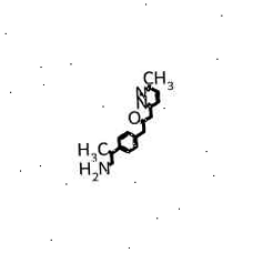 Cc1ccc(CC(=O)Cc2ccc(C(C)CN)cc2)nn1